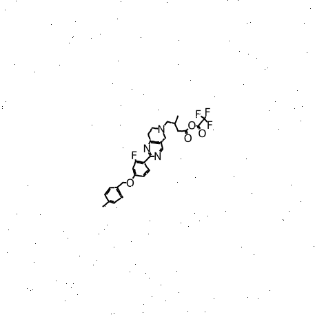 Cc1ccc(COc2ccc(-c3ncc4c(n3)CCN(CC(C)CC(=O)OC(=O)C(F)(F)F)C4)c(F)c2)cc1